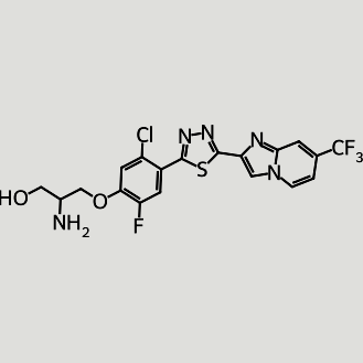 NC(CO)COc1cc(Cl)c(-c2nnc(-c3cn4ccc(C(F)(F)F)cc4n3)s2)cc1F